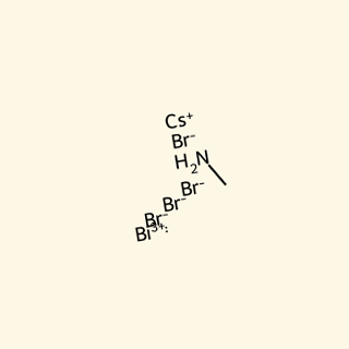 CN.[Bi+3].[Br-].[Br-].[Br-].[Br-].[Cs+]